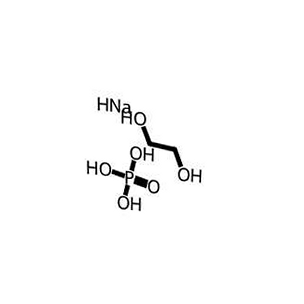 O=P(O)(O)O.OCCO.[NaH]